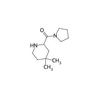 CC1(C)CCNC(C(=O)N2CCCC2)C1